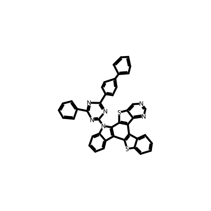 c1ccc(-c2ccc(-c3nc(-c4ccccc4)nc(-n4c5ccccc5c5c6sc7ccccc7c6c6c7ncncc7sc6c54)n3)cc2)cc1